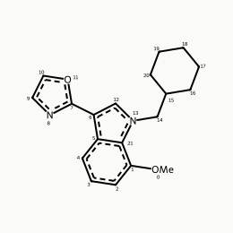 COc1cccc2c(-c3ncco3)cn(CC3CCCCC3)c12